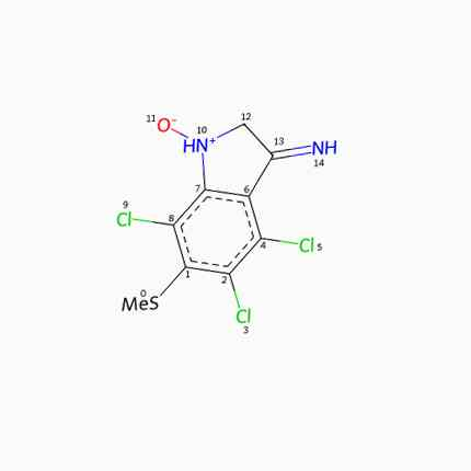 CSc1c(Cl)c(Cl)c2c(c1Cl)[NH+]([O-])CC2=N